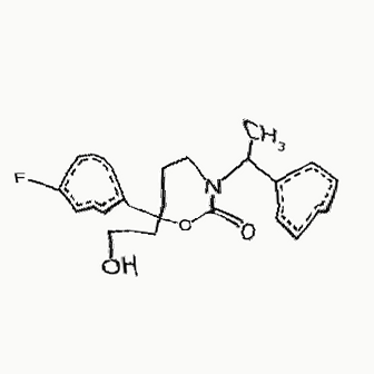 CC(c1ccccc1)N1CCC(CCO)(c2ccc(F)cc2)OC1=O